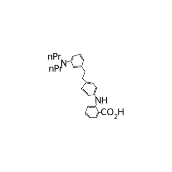 CCCN(CCC)c1cccc(CCc2ccc(Nc3ccccc3C(=O)O)cc2)c1